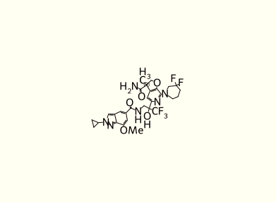 COc1cc(C(=O)NCC(O)(c2cc3c(c(N4CCCC(F)(F)C4)n2)OC[C@]3(C)C(N)=O)C(F)(F)F)cc2cn(C3CC3)nc12